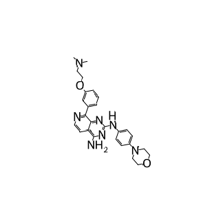 CN(C)CCOc1cccc(-c2nccc3c(N)nc(Nc4ccc(N5CCOCC5)cc4)nc23)c1